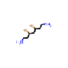 NCCC(S)CC(S)CCN